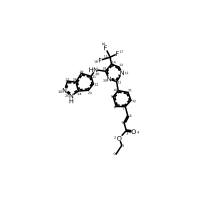 CCOC(=O)C=Cc1ccc(-c2ncc(C(F)(F)F)c(Nc3ccc4[nH]ncc4c3)n2)cc1